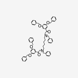 O=C(CN(CCCCCCN(CC(=O)c1cc(OCc2ccccc2)cc(OCc2ccccc2)c1)Cc1ccccc1)Cc1ccccc1)c1cc(OCc2ccccc2)cc(OCc2ccccc2)c1